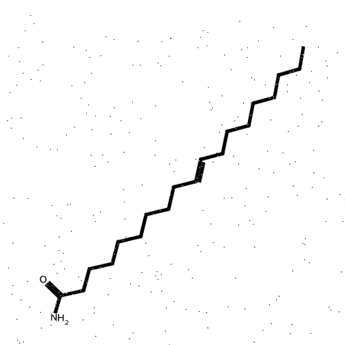 CCCCCCCCC=CCCCCCCCCC(N)=O